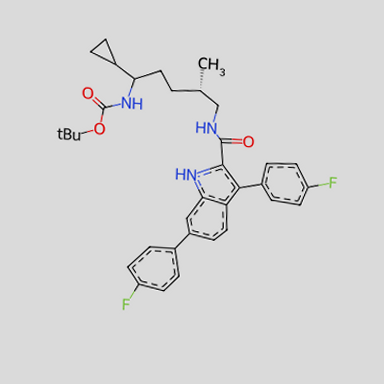 C[C@@H](CCC(NC(=O)OC(C)(C)C)C1CC1)CNC(=O)c1[nH]c2cc(-c3ccc(F)cc3)ccc2c1-c1ccc(F)cc1